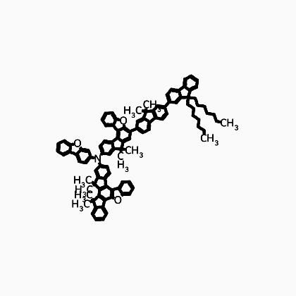 CCCCCCCC1(CCCCCCC)c2ccccc2-c2ccc(-c3ccc4c(c3)C(C)(C)c3cc(-c5cc6c(c7c5oc5ccccc57)-c5ccc(N(c7ccc8c(c7)C(C)(C)c7c9c(c%10oc%11ccccc%11c%10c7-8)-c7ccccc7C9(C)C)c7ccc8c(c7)oc7ccccc78)cc5C6(C)C)ccc3-4)cc21